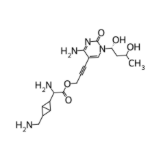 CC(O)C[C@@H](O)n1cc(C#CCOC(=O)C(N)C2C3C(CN)C23)c(N)nc1=O